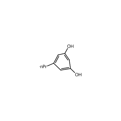 CC[CH]c1cc(O)cc(O)c1